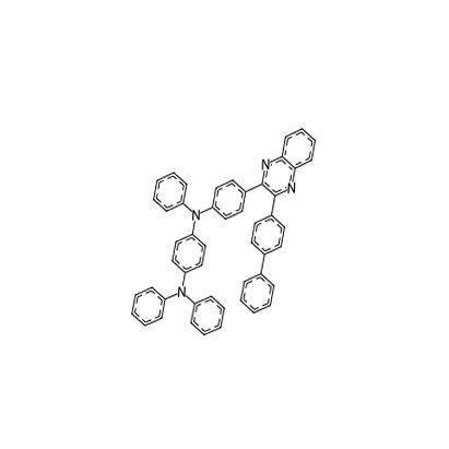 c1ccc(-c2ccc(-c3nc4ccccc4nc3-c3ccc(N(c4ccccc4)c4ccc(N(c5ccccc5)c5ccccc5)cc4)cc3)cc2)cc1